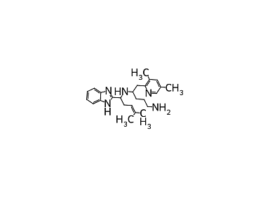 CC(C)=CCC(NC(CCCN)Cc1ncc(C)cc1C)c1nc2ccccc2[nH]1